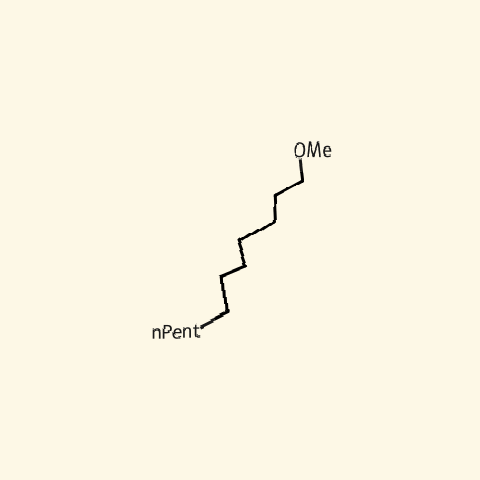 [C]OCCCCCCCCCCCC